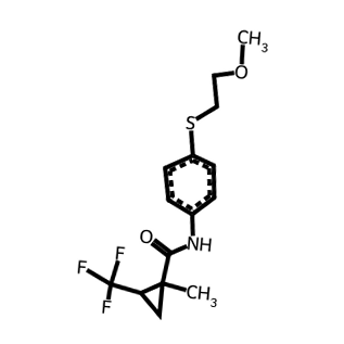 COCCSc1ccc(NC(=O)C2(C)CC2C(F)(F)F)cc1